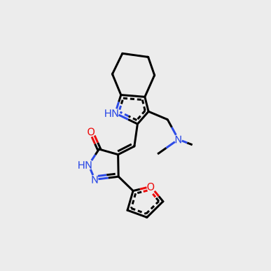 CN(C)Cc1c(C=C2C(=O)NN=C2c2ccco2)[nH]c2c1CCCC2